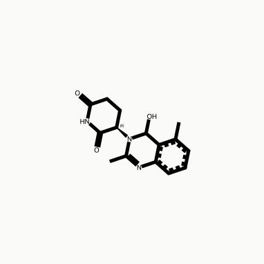 CC1=Nc2cccc(C)c2C(O)N1[C@@H]1CCC(=O)NC1=O